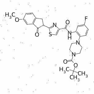 COc1ccc2c(c1)C(=O)C(c1nc(C(=O)Nc3cc(F)ccc3N3CCN(C(=O)OC(C)(C)C)CC3)cs1)C2